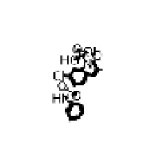 O=c1[c]cc2cc(S(=O)(=O)Nc3ccccc3)c(Cl)cc2n1P(=O)(O)O